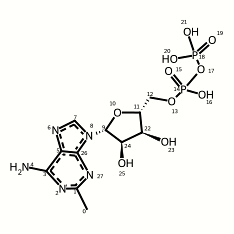 Cc1nc(N)c2ncn([C@@H]3O[C@H](COP(=O)(O)OP(=O)(O)O)[C@@H](O)[C@H]3O)c2n1